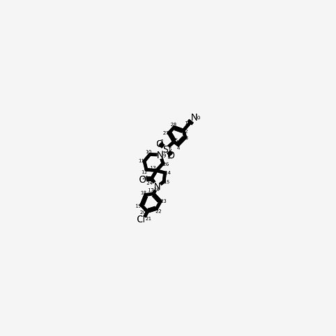 N#Cc1ccc(S(=O)(=O)N2CCCC3(CCN(c4ccc(Cl)cc4)C3=O)C2)cc1